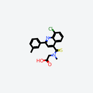 Cc1cccc(-c2cc(C(=S)N(C)CC(=O)O)c3cccc(Cl)c3n2)c1